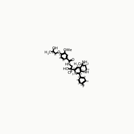 COc1cc(C(=O)NC[C@](O)(c2cc3c(c(-c4ccc(F)cc4)n2)NCC[C@]3(C)N)C(F)(F)F)ccc1OC[C@@H](C)O